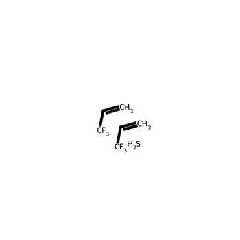 C=CC(F)(F)F.C=CC(F)(F)F.S